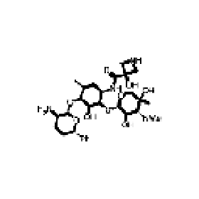 CC[C@@H]1CCC(N)[C@@H](OC2C(O)C(O[C@H]3OCC(C)(O)[C@H](NC)C3O)[C@H](NC(=O)C3(O)CNC3)C[C@@H]2C)O1